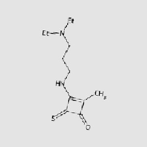 CCN(CC)CCCNc1c(C)c(=O)c1=S